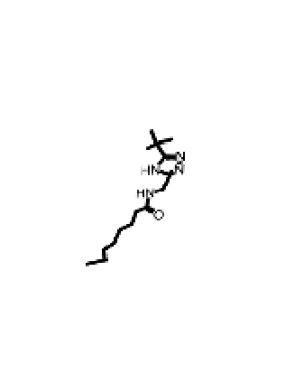 CCCCCCCC(=O)NCc1nnc(C(C)(C)C)[nH]1